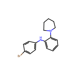 Brc1ccc(Nc2ccccc2N2CCCCC2)cc1